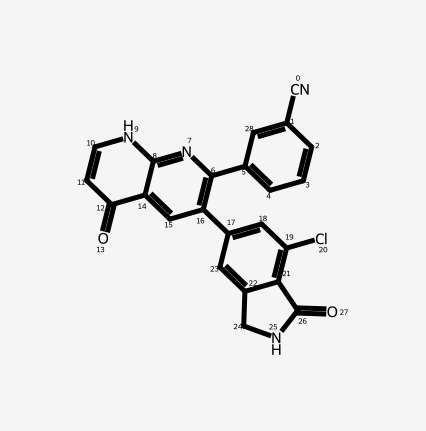 N#Cc1cccc(-c2nc3[nH]ccc(=O)c3cc2-c2cc(Cl)c3c(c2)CNC3=O)c1